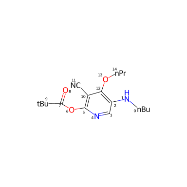 CCCCNc1cnc(OC(=O)C(C)(C)C)c(C#N)c1OCCC